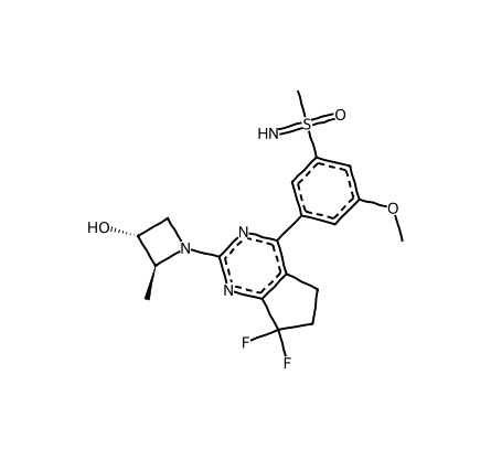 COc1cc(-c2nc(N3C[C@@H](O)[C@@H]3C)nc3c2CCC3(F)F)cc(S(C)(=N)=O)c1